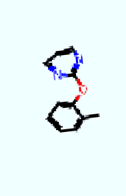 [CH2]c1ccccc1Oc1ncccn1